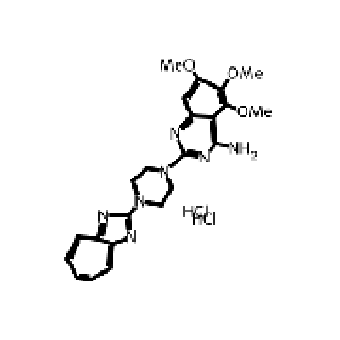 COc1cc2nc(N3CCN(c4nc5cccccc-5n4)CC3)nc(N)c2c(OC)c1OC.Cl.Cl